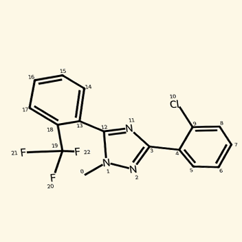 Cn1nc(-c2ccccc2Cl)nc1-c1ccccc1C(F)(F)F